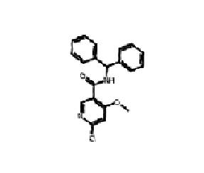 COc1cc(Cl)ncc1C(=O)NC(c1ccccc1)c1ccccc1